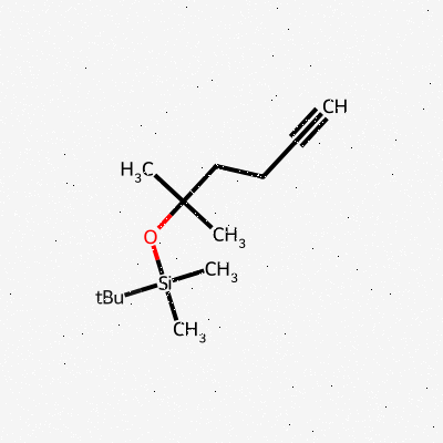 C#CCCC(C)(C)O[Si](C)(C)C(C)(C)C